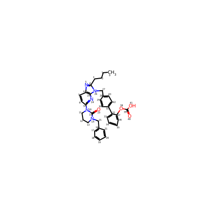 CCCCc1nc2ccc(N3CCCN(Cc4ccccc4)C3=O)nc2n1Cc1ccc(-c2ccccc2OC(=O)O)cc1